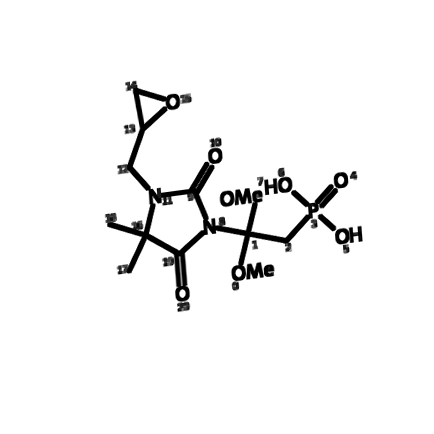 COC(CP(=O)(O)O)(OC)N1C(=O)N(CC2CO2)C(C)(C)C1=O